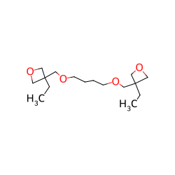 CCC1(COCCCCOCC2(CC)COC2)COC1